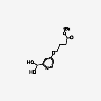 CC(C)(C)OC(=O)CCCOc1ccnc(C(O)O)c1